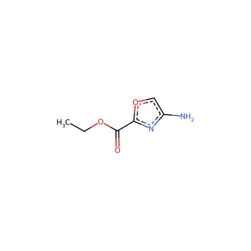 CCOC(=O)c1nc(N)co1